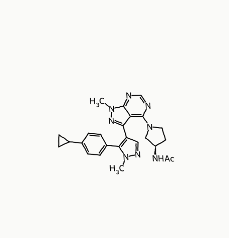 CC(=O)N[C@@H]1CCN(c2ncnc3c2c(-c2cnn(C)c2-c2ccc(C4CC4)cc2)nn3C)C1